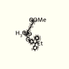 CC/C(=C(\c1ccccc1)c1ccc(OCCN(C)C(=O)CCCCCCC(=O)OC)cc1)c1ccccc1